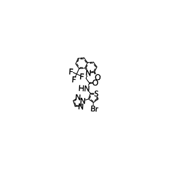 O=C(Cn1c(=O)ccc2cccc(C(F)(F)F)c21)Nc1scc(Br)c1-n1nccn1